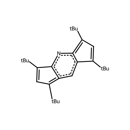 CC(C)(C)C1=CC(C(C)(C)C)=c2cc3c(nc21)=C(C(C)(C)C)C=C3C(C)(C)C